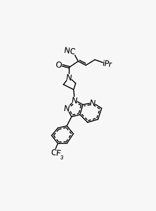 CC(C)CC=C(C#N)C(=O)N1CC(n2nc(-c3ccc(C(F)(F)F)cc3)c3cccnc32)C1